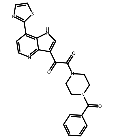 O=C(C(=O)N1CCN(C(=O)c2ccccc2)CC1)c1c[nH]c2c(-c3nccs3)ccnc12